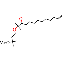 C=CCCCCCCCCC(=O)C(C)(C)OCCC(C)(C)OC